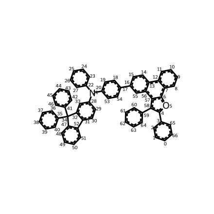 c1ccc(-c2oc3c4ccccc4c4ccc(-c5ccc(N(c6ccccc6)c6ccc7c(c6)C(c6ccccc6)(c6ccccc6)c6ccccc6-7)cc5)cc4c3c2-c2ccccc2)cc1